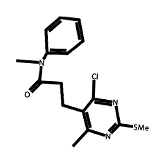 CSc1nc(C)c(CCC(=O)N(C)c2ccccc2)c(Cl)n1